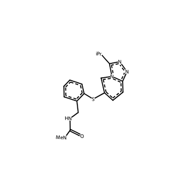 CNC(=O)NCc1ccccc1Sc1ccc2nnc(C(C)C)n2c1